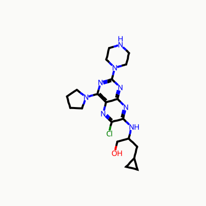 OCC(CC1CC1)Nc1nc2nc(N3CCNCC3)nc(N3CCCC3)c2nc1Cl